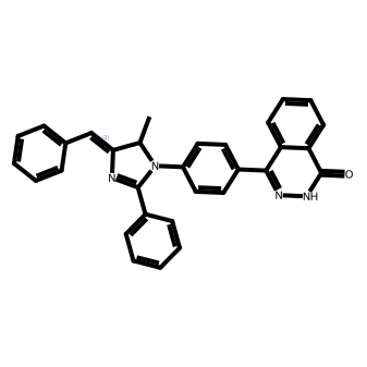 CC1/C(=C/c2ccccc2)N=C(c2ccccc2)N1c1ccc(-c2n[nH]c(=O)c3ccccc23)cc1